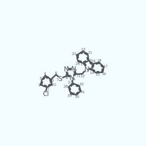 Clc1cccc(CSc2nnc(Cn3c4ccccc4c4ccccc43)n2-c2ccccc2)c1